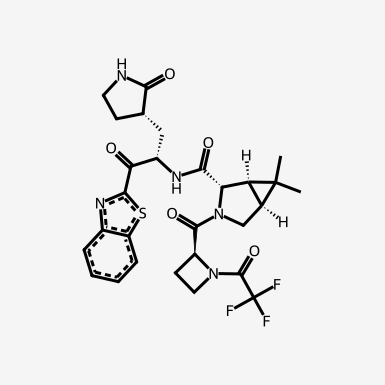 CC1(C)[C@@H]2[C@@H](C(=O)N[C@@H](C[C@@H]3CCNC3=O)C(=O)c3nc4ccccc4s3)N(C(=O)[C@@H]3CCN3C(=O)C(F)(F)F)C[C@@H]21